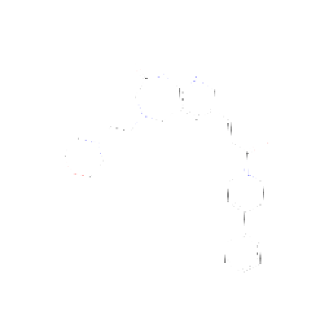 O=C1CN(CCN2CCOCC2)Cc2cc(C=CC(=O)N3CC=C(c4ccccc4)CC3)cnc2N1